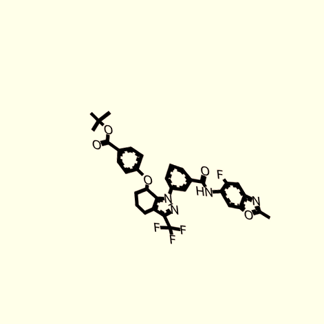 Cc1nc2cc(F)c(NC(=O)c3cccc(-n4nc(C(F)(F)F)c5c4C(Oc4ccc(C(=O)OC(C)(C)C)cc4)CCC5)c3)cc2o1